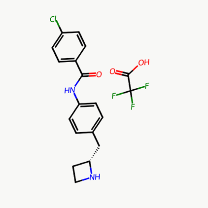 O=C(Nc1ccc(C[C@H]2CCN2)cc1)c1ccc(Cl)cc1.O=C(O)C(F)(F)F